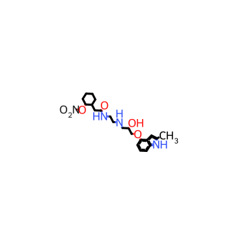 Cc1cc2c(OCC(O)CNCCNC(=O)CC3CCCCC3O[N+](=O)[O-])cccc2[nH]1